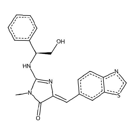 CN1C(=O)/C(=C/c2ccc3ncsc3c2)N=C1N[C@H](CO)c1ccccc1